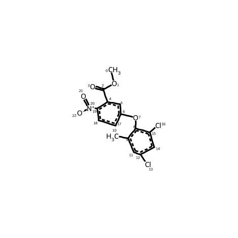 COC(=O)c1cc(Oc2c(C)cc(Cl)cc2Cl)ccc1[N+](=O)[O-]